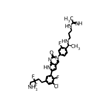 CC(=N)NCCCN[C@@H](C)c1ccc(-n2cc3cc(-c4cc(CCC(F)(F)CN)cc(Cl)c4F)[nH]c3nc2=O)cc1F